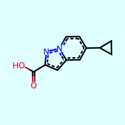 O=C(O)c1cc2cc(C3CC3)ccn2n1